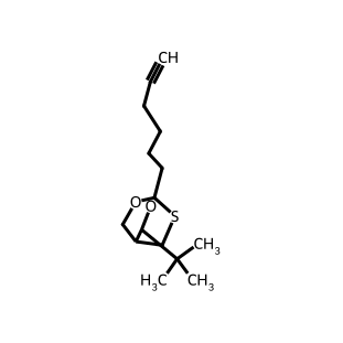 C#CCCCCC12OCC(CS1)C(C(C)(C)C)O2